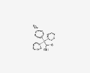 O=C(O)C(c1ccccc1)(c1ccccc1)c1ccccc1.[Rh].[Rh]